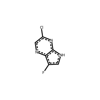 Fc1c[nH]c2nc(Cl)cnc12